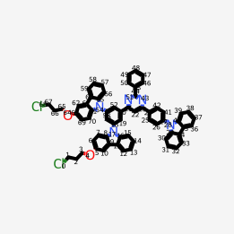 ClCCCOc1ccc2c(c1)c1ccccc1n2-c1cc(-c2cc(-c3ccc(-n4c5ccccc5c5ccccc54)cc3)nc(-c3ccccc3)n2)cc(-n2c3ccccc3c3cc(OCCCCl)ccc32)c1